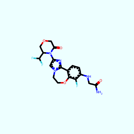 NC(=O)CNc1ccc2c(c1F)OCCn1cc(N3C(=O)COCC3C(F)F)nc1-2